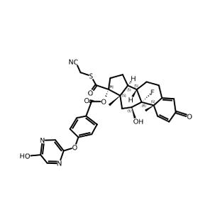 C[C@]12C=CC(=O)C=C1CC[C@H]1[C@@H]3CC[C@](OC(=O)c4ccc(Oc5cnc(O)cn5)cc4)(C(=O)SCC#N)[C@@]3(C)C[C@H](O)[C@@]12F